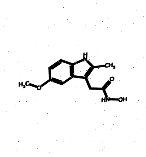 COc1ccc2[nH]c(C)c(CC(=O)NO)c2c1